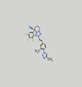 Cc1cn(-c2ccc(/C=C/c3nc4n(n3)CCC[C@@]4(C#N)c3cc(F)c(F)c(F)c3)cc2C)cn1